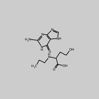 CCCNC(CCO)C(=O)O.Nc1nc2nc[nH]c2c(=O)[nH]1